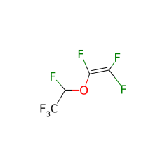 FC(F)=C(F)OC(F)C(F)(F)F